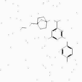 CC(OC12CCC(COCC(=O)O)(CC1)C2)c1cc(F)cc(Oc2ccc(F)cc2)c1